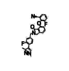 Cc1nn(C)cc1-c1ccc(CN2Cc3cccc(Oc4c(F)cccc4C#N)c3C2=O)cc1F